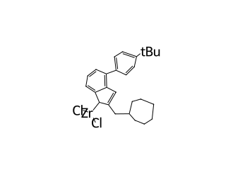 CC(C)(C)c1ccc(-c2cccc3c2C=C(CC2CCCCCC2)[CH]3[Zr]([Cl])[Cl])cc1